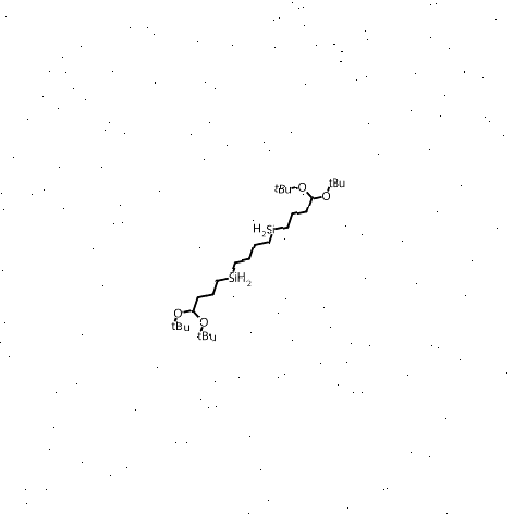 CC(C)(C)OC(CCC[SiH2]CCCC[SiH2]CCCC(OC(C)(C)C)OC(C)(C)C)OC(C)(C)C